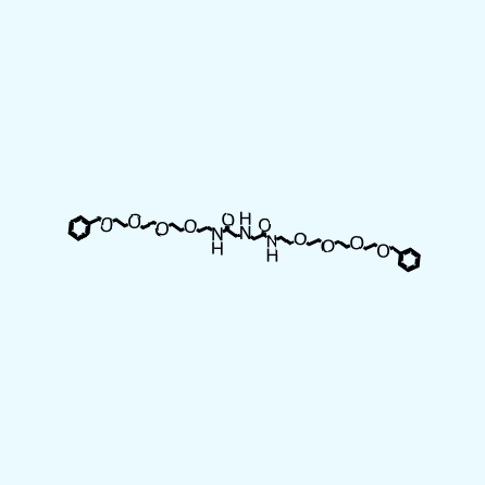 O=C(CNCC(=O)NCCOCCOCCOCCOCc1ccccc1)NCCOCCOCCOCCOCc1ccccc1